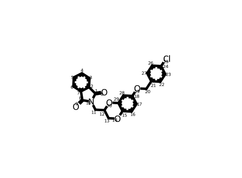 O=C1c2ccccc2C(=O)N1CC1COc2ccc(OCc3ccc(Cl)cc3)cc2O1